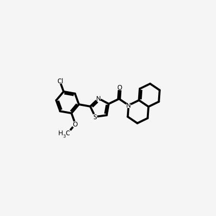 COc1ccc(Cl)cc1-c1nc(C(=O)N2CCCC3CCCC=C32)cs1